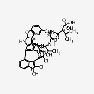 CC(C)[C@H](OP(=O)(O)O)C(=O)N[C@H]1Cc2ccc3c(c2)[C@]24c5cc(Cl)cc(c5NC2O3)-c2cccc3c2c(c(Cl)n3C)-c2oc(nc2Cl)-c2nc(oc24)[C@H](C(C)C)NC1=O